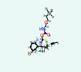 CC#C[C@]12C[C@H]1[C@@](CF)(c1cc(Br)ccc1F)N=C(OC(=O)NCOCC[Si](C)(C)C)S2